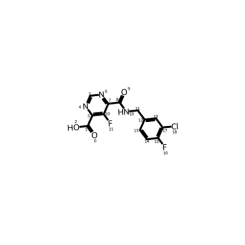 O=C(O)c1ncnc(C(=O)NCc2ccc(F)c(Cl)c2)c1F